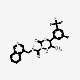 CC1NN(C(=O)NCc2cncc3ccccc23)C(=O)OC1c1cc(F)cc(C(F)(F)F)c1